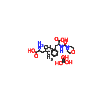 CC(C)C[C@H](N)C(=O)O.O=C(O)[C@H](Cc1ccccc1)NC(=O)N1CCOCC1.OB(O)O